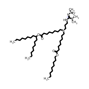 CCCCCCCCCOC(=O)CCCCCCCN(CCCCCCCC(=O)OC(CCCCCCCC)CCCCCCCC)CCCN/C(=N/[S+](C)[O-])N(C)C